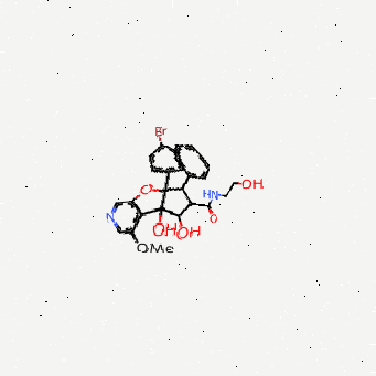 COc1cncc2c1C1(O)C(O)C(C(=O)NCCO)C(c3ccccc3)C1(c1ccc(Br)cc1)O2